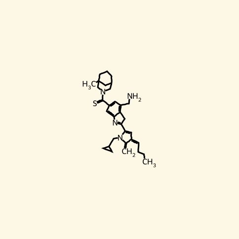 C=c1/c(=C\CCC)cc(C2=Nc3cc(C(=S)N4CC5CCCC(C)(C5)C4)cc(CN)c3C2)n1CC1CC1